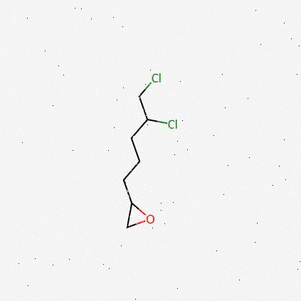 ClCC(Cl)CCCC1CO1